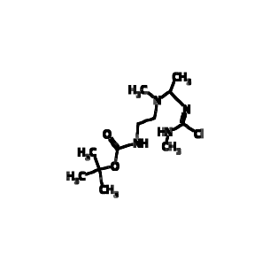 CN/C(Cl)=N\C(C)N(C)CCNC(=O)OC(C)(C)C